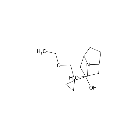 CCOCC1(CN2C3CCC2CC(C)(O)C3)CC1